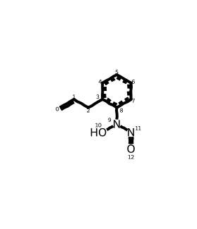 C=CCc1ccccc1N(O)N=O